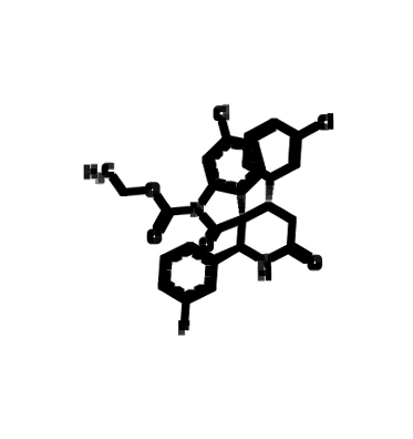 CCOC(=O)N1C(=O)[C@]2(c3ccc(Cl)cc31)[C@H](c1cccc(F)c1)NC(=O)C[C@H]2C1C=C(Cl)C=CC1